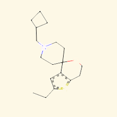 CCc1cc2c(s1)CCOC21CCN(CC2CCC2)CC1